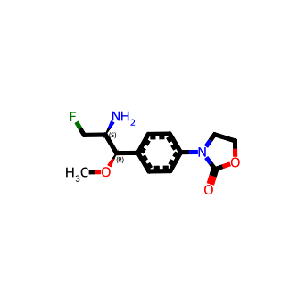 CO[C@H](c1ccc(N2CCOC2=O)cc1)[C@H](N)CF